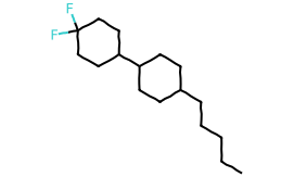 CCCCCC1CCC(C2CCC(F)(F)CC2)CC1